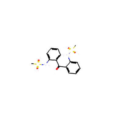 CS(=O)(=O)Nc1ccccc1C(=O)c1ccccc1NS(C)(=O)=O